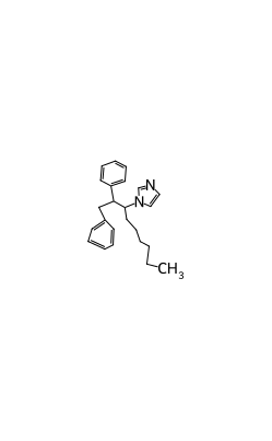 CCCCCCC(C(Cc1ccccc1)c1ccccc1)n1ccnc1